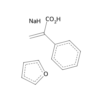 C=C(C(=O)O)c1ccccc1.[NaH].c1ccoc1